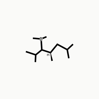 CB(C)C(C(C)C)[C@H](C)CC(C)C